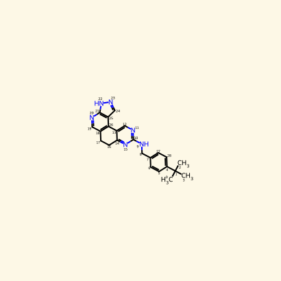 CC(C)(C)c1ccc(CNc2ncc3c(n2)CCc2cnc4[nH]ncc4c2-3)cc1